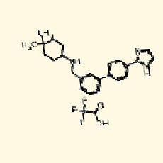 CC1(C)CCC(NCc2cccc(-c3ccc(-c4ncc[nH]4)cc3)c2)CC1.O=C(O)C(F)(F)F